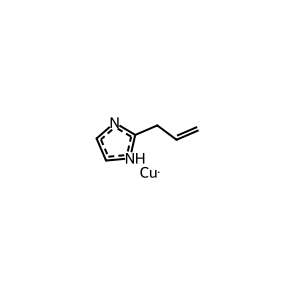 C=CCc1ncc[nH]1.[Cu]